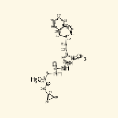 C[C@@H](CNC(=O)Nc1cc(C#Cc2cnc3ccccc3c2)n(C)n1)OCC1CC1